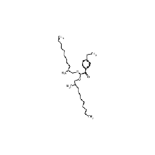 CCCCCCCCCC(C)COC(OCC(C)CCCCCCCCC)C(=O)c1ccc(SC)cc1